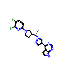 C[C@@H]([C@H]1CCN(c2ccc(F)c(F)n2)C1)n1cc(-c2ncnc3[nH]ccc23)cn1